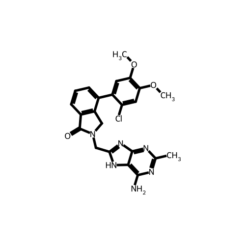 COc1cc(Cl)c(-c2cccc3c2CN(Cc2nc4nc(C)nc(N)c4[nH]2)C3=O)cc1OC